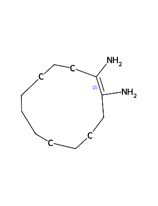 N/C1=C(\N)CCCCCCCCCC1